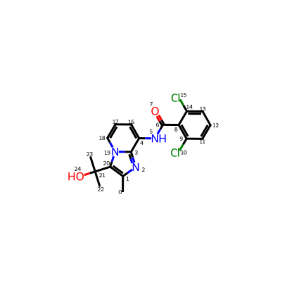 Cc1nc2c(NC(=O)c3c(Cl)cccc3Cl)cccn2c1C(C)(C)O